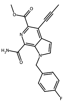 CC#Cc1c(C(=O)OC)nc(C(N)=O)c2c1ccn2Cc1ccc(F)cc1